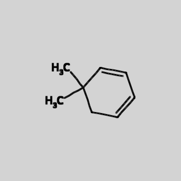 CC1(C)C=CC=CC1